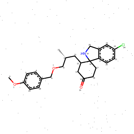 COc1ccc(COC[C@H](C)CC2CC(=O)CCC23NCc2cc(Cl)ccc23)cc1